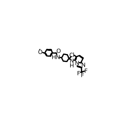 COc1ccc(C(=O)NC2CCC(C)(Nc3c(Cl)ccc4nc(C(F)(F)F)cn34)CC2)cc1